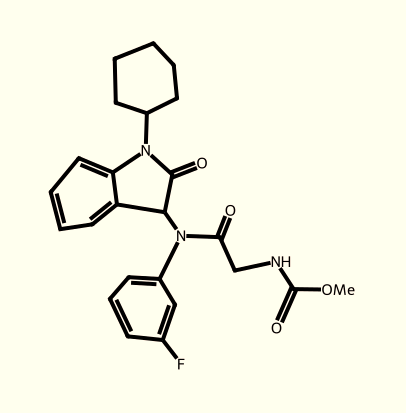 COC(=O)NCC(=O)N(c1cccc(F)c1)C1C(=O)N(C2CCCCC2)c2ccccc21